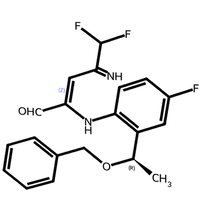 C[C@@H](OCc1ccccc1)c1cc(F)ccc1N/C(C=O)=C\C(=N)C(F)F